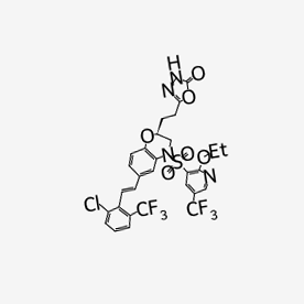 CCOc1ncc(C(F)(F)F)cc1S(=O)(=O)N1C[C@H](CCc2n[nH]c(=O)o2)Oc2ccc(/C=C/c3c(Cl)cccc3C(F)(F)F)cc21